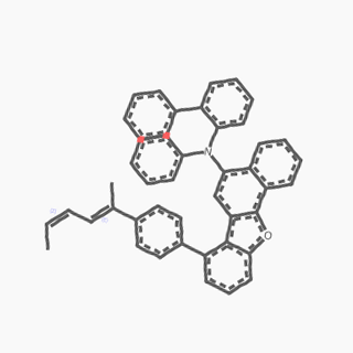 C/C=C\C=C(/C)c1ccc(-c2cccc3oc4c5ccccc5c(N(c5ccccc5)c5ccccc5-c5ccccc5)cc4c23)cc1